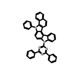 c1ccc(-c2nc(-c3ccccc3)nc(-n3c4ccccc4c4c5c6ccc7ccccc7c6n(-c6ccccc6)c5ccc43)n2)cc1